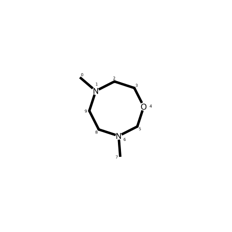 CN1CCOCN(C)CC1